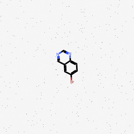 Brc1ccc2ncn[c]c2c1